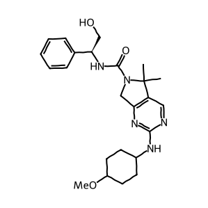 COC1CCC(Nc2ncc3c(n2)CN(C(=O)N[C@H](CO)c2ccccc2)C3(C)C)CC1